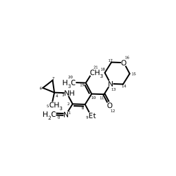 C=N/C(NC1(C)CC1)=C(\CC)C(C(=O)N1CCOCC1)=C(C)C